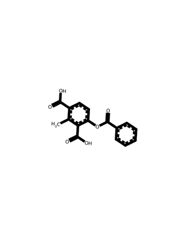 Cc1c(C(=O)O)ccc(OC(=O)c2ccccc2)c1C(=O)O